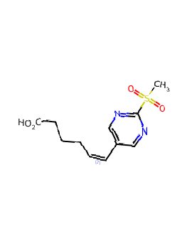 CS(=O)(=O)c1ncc(/C=C\CCCC(=O)O)cn1